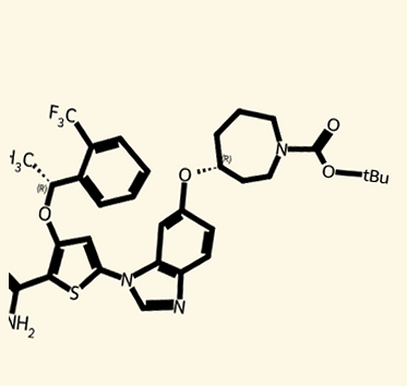 C[C@@H](Oc1cc(-n2cnc3ccc(O[C@@H]4CCCN(C(=O)OC(C)(C)C)CC4)cc32)sc1C(N)=O)c1ccccc1C(F)(F)F